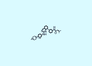 CC(C)=CC(=O)Nc1cccc(-c2cccc3cnc(Nc4ccc(N5CCN(C)CC5)nc4)nc23)c1